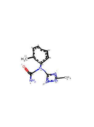 Cc1nc(N(C(N)=O)c2ccccc2C)n[nH]1